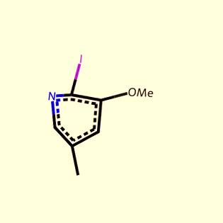 COc1cc(C)cnc1I